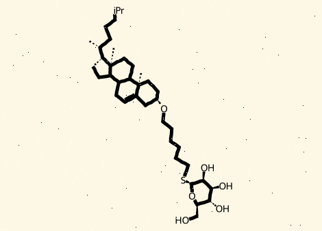 CC(C)CCC[C@@H](C)[C@H]1CCC2C3CC=C4C[C@@H](OCCCCCCS[C@@H]5O[C@H](CO)[C@@H](O)[C@H](O)[C@@H]5O)CC[C@]4(C)C3CC[C@@]21C